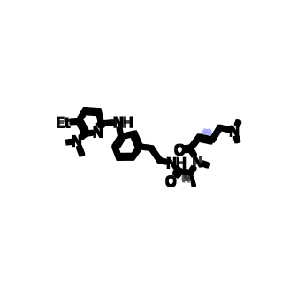 CCc1ccc(Nc2cccc(CCNC(=O)[C@H](C)N(C)C(=O)/C=C/CN(C)C)c2)nc1N(C)C